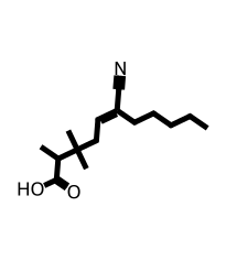 CCCCC/C(C#N)=C\CC(C)(C)C(C)C(=O)O